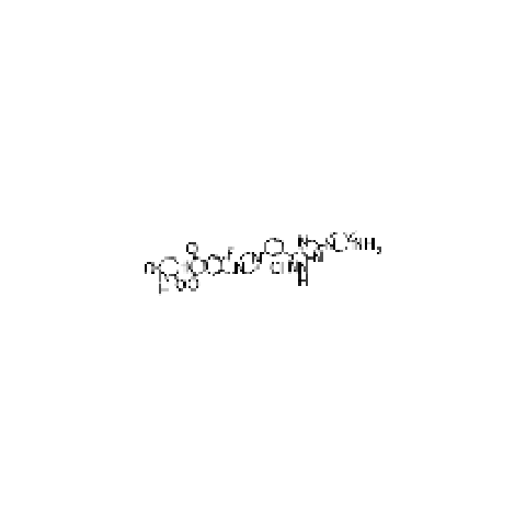 CC1(N)CCN(c2cnc3c(-c4cccc(N5CCN(Cc6cc7c(cc6F)C(=O)N(C6CCC(=O)NC6=O)C7=O)CC5)c4Cl)n[nH]c3n2)CC1